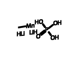 O=P(O)(O)O.[CH3][Mn].[LiH].[LiH]